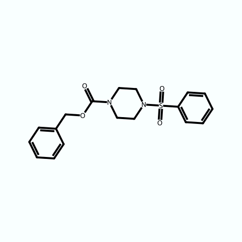 O=C(OCc1ccccc1)N1CCN(S(=O)(=O)c2ccccc2)CC1